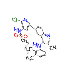 Cc1cccc(Nc2c(C#N)cnc3ccc(-c4cnc(Cl)c(NS(C)(=O)=O)c4)cc23)c1C